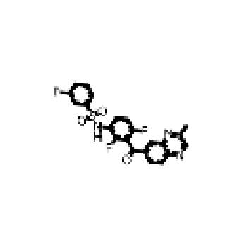 Cc1cnc2ccc(C(=O)c3c(F)ccc(NS(=O)(=O)c4cccc(F)c4)c3F)cc2n1